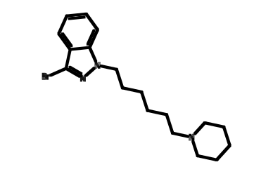 Brc1nn(CCCCCCN2CCCCC2)c2ccccc12